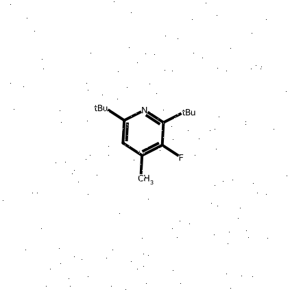 Cc1cc(C(C)(C)C)nc(C(C)(C)C)c1F